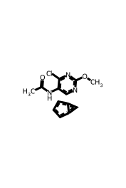 COc1ncc(NC(C)=O)c(Cl)n1.c1cc2cc-2c1